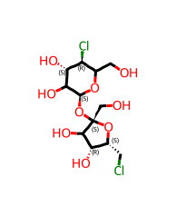 OCC1O[C@@H](O[C@]2(CO)O[C@H](CCl)[C@H](O)C2O)C(O)[C@H](O)[C@H]1Cl